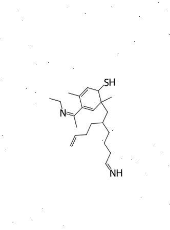 C=CCCC(CCCC=N)CC1(C)C=C(/C(C)=N\CC)C(C)=CC1S